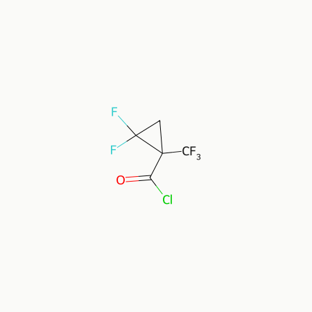 O=C(Cl)C1(C(F)(F)F)CC1(F)F